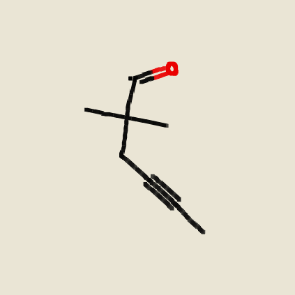 CC#CCC(C)(C)[C]=O